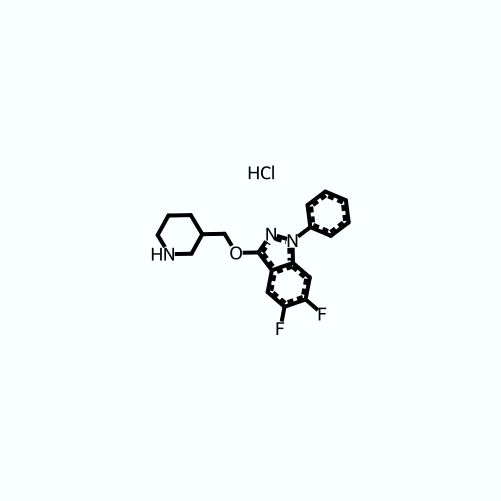 Cl.Fc1cc2c(OCC3CCCNC3)nn(-c3ccccc3)c2cc1F